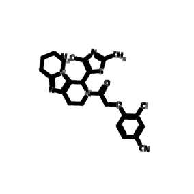 Cc1nc(C)c(C2c3c(nc4n3CCCC4)CCN2C(=O)COc2ccc(C#N)cc2Cl)s1